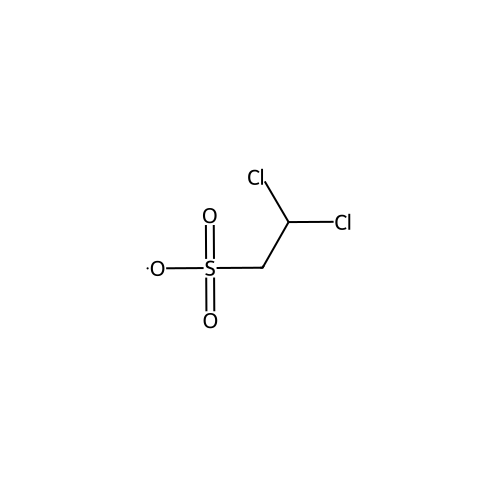 [O]S(=O)(=O)CC(Cl)Cl